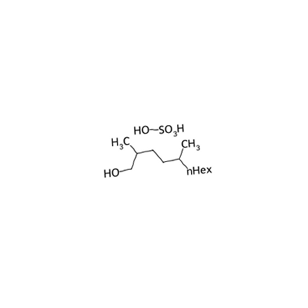 CCCCCCC(C)CCC(C)CO.O=S(=O)(O)O